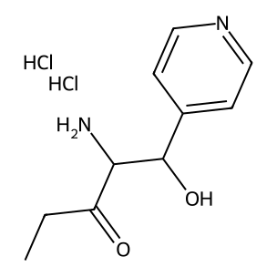 CCC(=O)C(N)C(O)c1ccncc1.Cl.Cl